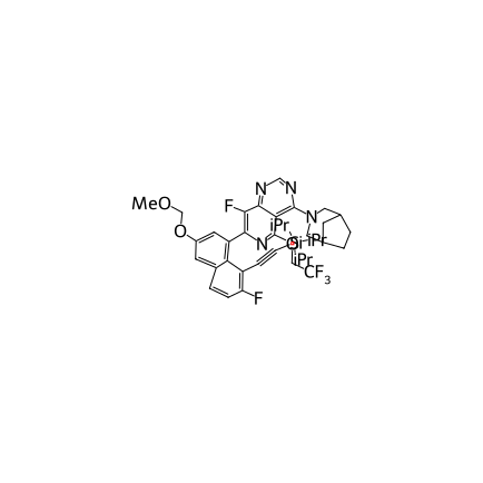 COCOc1cc(-c2nc(OCC(F)(F)F)c3c(N4CC5CCC(C5)C4)ncnc3c2F)c2c(C#C[Si](C(C)C)(C(C)C)C(C)C)c(F)ccc2c1